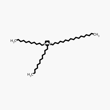 CCCCCCCCCCCCCCCCC[n+]1ccn(CCCCCCCCCCC)c1CCCCCCCCCCCC